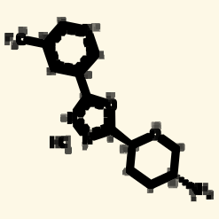 Cl.N[C@@H]1CC[C@@H](c2nnc(-c3cncc(C(F)(F)F)c3)o2)OC1